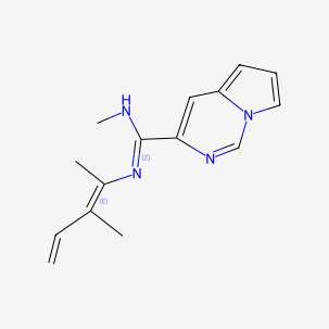 C=C/C(C)=C(C)/N=C(\NC)c1cc2cccn2cn1